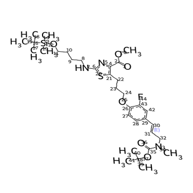 COC(=O)c1nc(NCCCCO[Si](C)(C)C(C)(C)C)sc1CCCOc1ccc(/C=C/CN(C)C(=O)OC(C)(C)C)cc1F